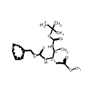 COC(=O)C[C@H](NC(=O)OCc1ccccc1)[C@H](C)NC(=O)OC(C)(C)C